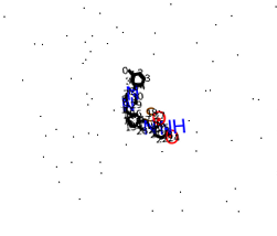 Cc1cccc(N2CCN(Cc3ccc4c(c3)C(=S)N(C3CCC(=O)NC3=O)C4)CC2)c1